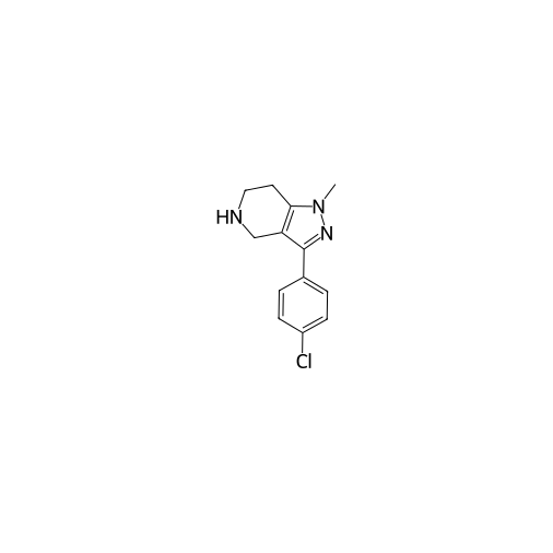 Cn1nc(-c2ccc(Cl)cc2)c2c1CCNC2